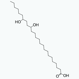 CCCCCCC(O)CCC(O)CCCCCCCCCCCCCCC(=O)O